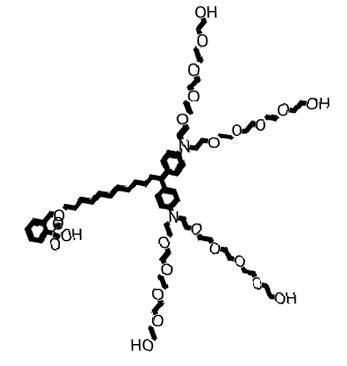 O=S(=O)(O)c1ccccc1COCCCCCCCCCCCC(c1ccc(N(CCOCCOCCOCCOCCO)CCOCCOCCOCCOCCO)cc1)c1ccc(N(CCOCCOCCOCCOCCO)CCOCCOCCOCCOCCO)cc1